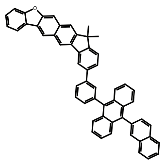 CC1(C)c2ccc(-c3cccc(-c4c5ccccc5c(-c5ccc6ccccc6c5)c5ccccc45)c3)cc2-c2cc3cc4c(cc3cc21)oc1ccccc14